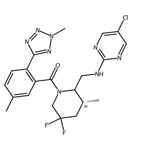 Cc1ccc(-c2nnn(C)n2)c(C(=O)N2CC(F)(F)C[C@@H](C)C2CNc2ncc(Cl)cn2)c1